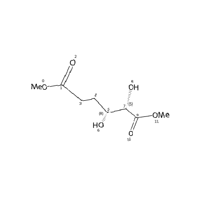 COC(=O)CC[C@@H](O)[C@H](O)C(=O)OC